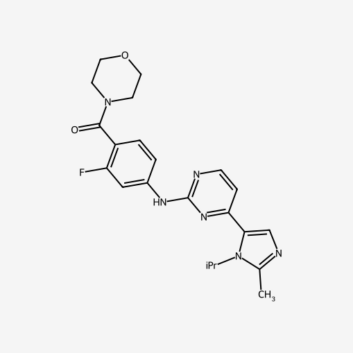 Cc1ncc(-c2ccnc(Nc3ccc(C(=O)N4CCOCC4)c(F)c3)n2)n1C(C)C